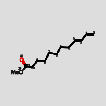 C=CC=CCCCCCCCC(=O)OC